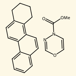 COC(=O)N1C=COC=N1.c1ccc2c(c1)ccc1c3c(ccc12)CCCC3